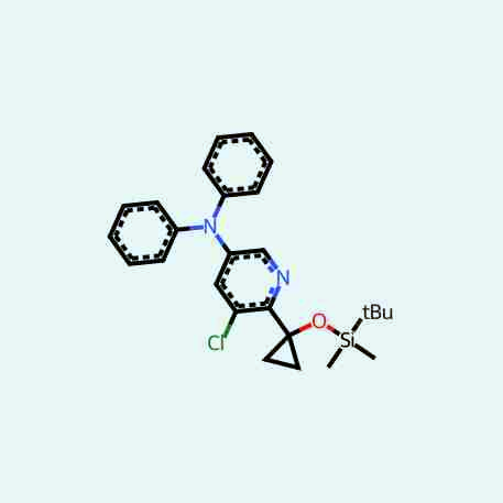 CC(C)(C)[Si](C)(C)OC1(c2ncc(N(c3ccccc3)c3ccccc3)cc2Cl)CC1